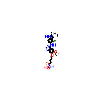 COc1cc2c(Nc3ccc4[nH]c(C)cc4c3F)ncnc2cc1OCCCCC(=O)NO